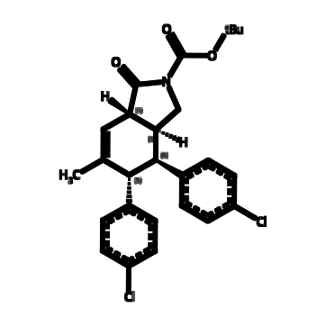 CC1=C[C@@H]2C(=O)N(C(=O)OC(C)(C)C)C[C@H]2[C@@H](c2ccc(Cl)cc2)[C@@H]1c1ccc(Cl)cc1